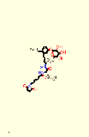 CC(=O)OCc1ccc(O[C@@H]2O[C@H](C(=O)O)[C@@H](O)[C@H](O)[C@H]2O)cc1CCCCNC(=O)[C@H](CS(=O)(=O)O)NC(=O)CCCCCN1C(=O)C=CC1=O